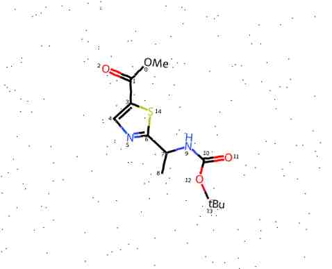 COC(=O)c1cnc(C(C)NC(=O)OC(C)(C)C)s1